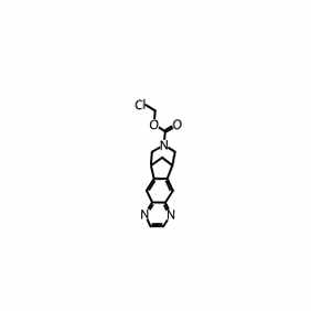 O=C(OCCl)N1CC2CC(C1)c1cc3nccnc3cc12